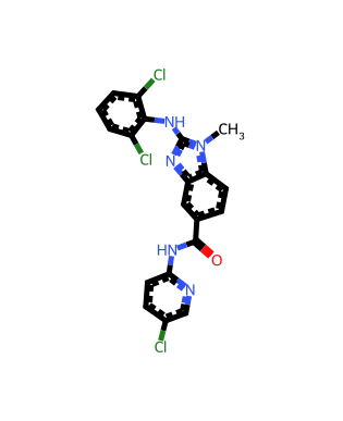 Cn1c(Nc2c(Cl)cccc2Cl)nc2cc(C(=O)Nc3ccc(Cl)cn3)ccc21